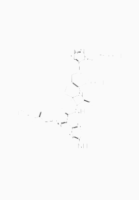 CC(C)(C)OC(=O)CO/N=C(\C(=O)NC1C(=O)N2C(C(=O)O)=C(CSc3nnnn3CCC(=O)O)CS[C@H]12)c1nsc(N)n1